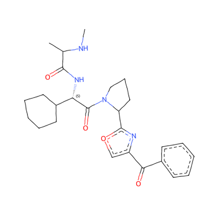 CNC(C)C(=O)N[C@H](C(=O)N1CCCC1c1nc(C(=O)c2ccccc2)co1)C1CCCCC1